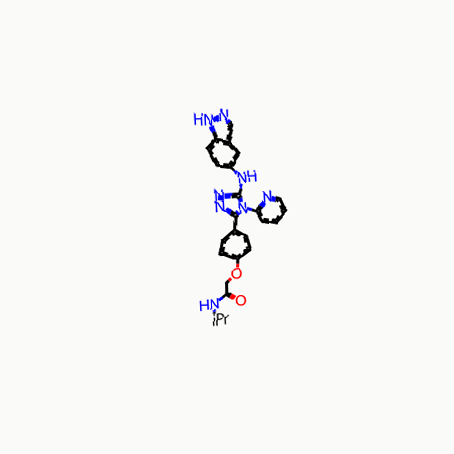 CC(C)NC(=O)COc1ccc(-c2nnc(Nc3ccc4[nH]ncc4c3)n2-c2ccccn2)cc1